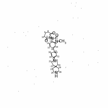 Cn1c(=O)n(N2C(=O)CCCC2=O)c2ccc(-c3ccc(N4CCC5(CCNCC5)CC4)cc3)cc21